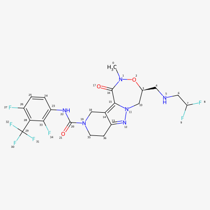 CN1O[C@@H](CNCC(F)F)Cn2nc3c(c2C1=O)CN(C(=O)Nc1ccc(F)c(C(F)(F)F)c1F)CC3